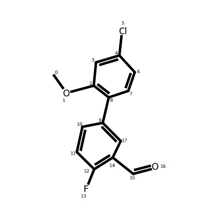 COc1cc(Cl)ccc1-c1ccc(F)c(C=O)c1